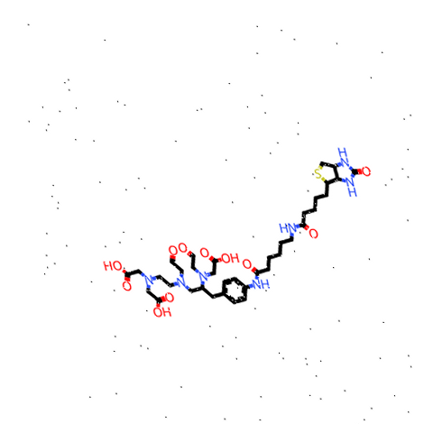 O=CCN(CCN(CC(=O)O)CC(=O)O)CC(Cc1ccc(NC(=O)CCCCCNC(=O)CCCCC2SCC3NC(=O)NC32)cc1)N(CC=O)CC(=O)O